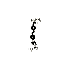 CC(=O)N1CC2CC1CN2c1ccc(CCc2ccc(CC(=O)NN)cc2)cc1